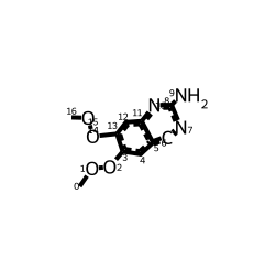 COOc1cc2cnc(N)nc2cc1OOC